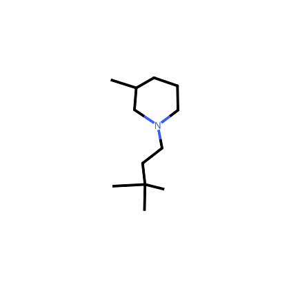 CC1CCCN(CCC(C)(C)C)C1